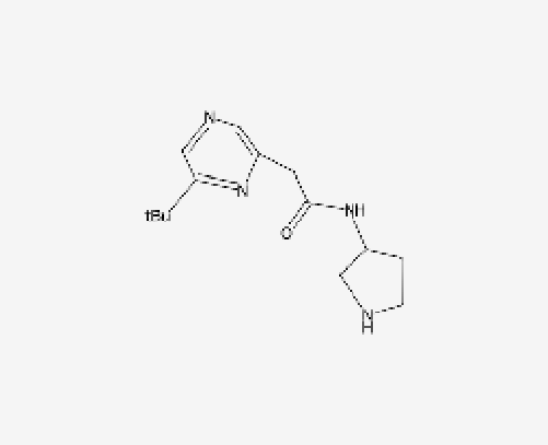 CC(C)(C)c1cncc(CC(=O)NC2CCNC2)n1